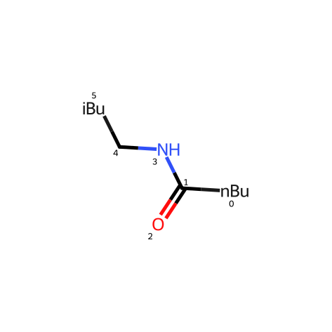 CCCCC(=O)NCC(C)CC